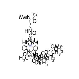 CNC(CCCCNC(=O)OCCN/C1=C(\NN)c2ccccc2N(C(=O)C(C)(C)CC(C)(C)NC(=O)C(C)(C)CC(C)(C)C(C)(C)OCCC(C)(C)OC)Cc2ccccc21)C(=O)C1CCC1